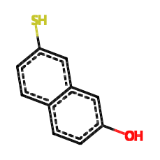 Oc1ccc2ccc(S)cc2c1